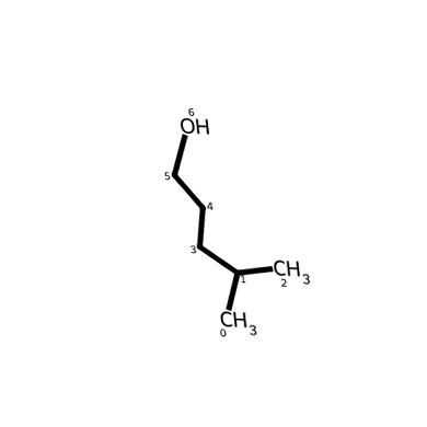 C[C](C)CCCO